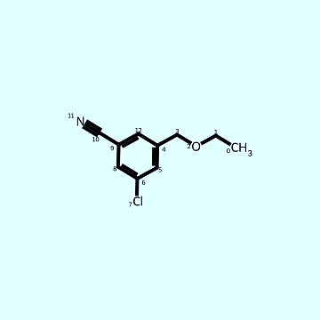 CCOCc1cc(Cl)cc(C#N)c1